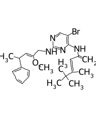 C=C(/C=C(\C)C(C)(C)C)Nc1nc(NC/C(=C/C(C)c2ccccc2)OC)ncc1Br